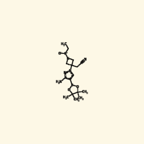 CC[S+]([O-])N1CC(CC#N)(n2cc(B3OC(C)(C)C(C)(C)O3)c(N)n2)C1